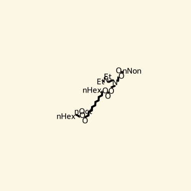 CCCCCCCCCC(=O)OCCN(CCOC(=O)OC(CCCCCC)CCCCCCCCCC(=O)OCC(CCCCCC)CCCCCCCC)CCN(CC)CC